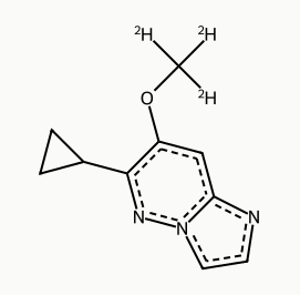 [2H]C([2H])([2H])Oc1cc2nccn2nc1C1CC1